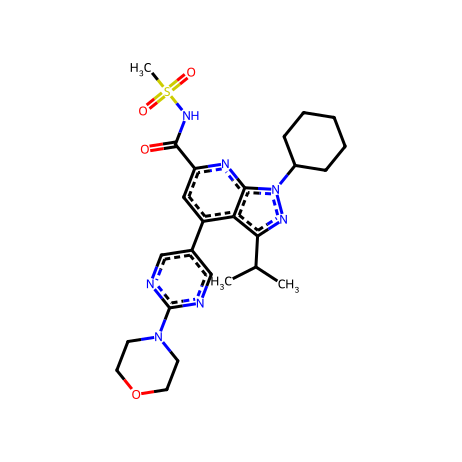 CC(C)c1nn(C2CCCCC2)c2nc(C(=O)NS(C)(=O)=O)cc(-c3cnc(N4CCOCC4)nc3)c12